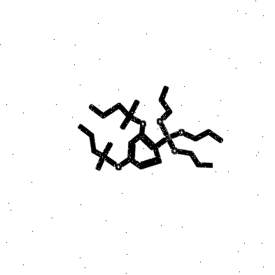 CCCO[Si](OCCC)(OCCC)c1ccc(OC(C)(C)CCC)cc1OC(C)(C)CCC